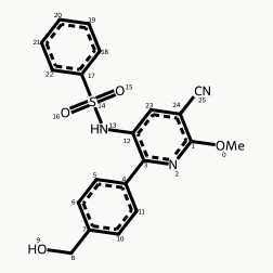 COc1nc(-c2ccc(CO)cc2)c(NS(=O)(=O)c2ccccc2)cc1C#N